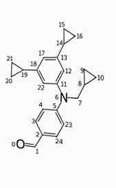 O=Cc1ccc(N(CC2CC2)c2cc(C3CC3)cc(C3CC3)c2)cc1